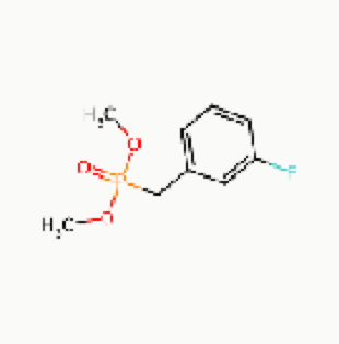 COP(=O)(Cc1cccc(F)c1)OC